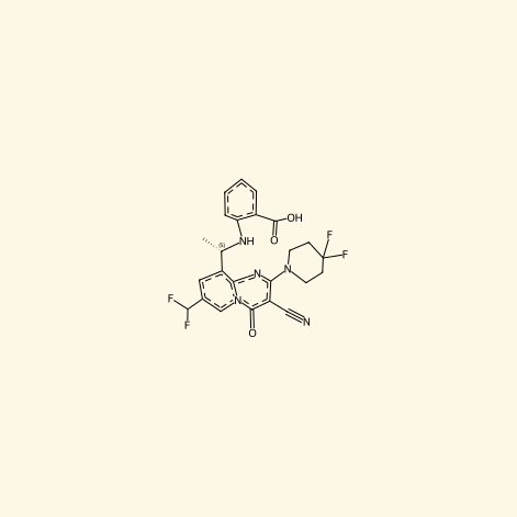 C[C@H](Nc1ccccc1C(=O)O)c1cc(C(F)F)cn2c(=O)c(C#N)c(N3CCC(F)(F)CC3)nc12